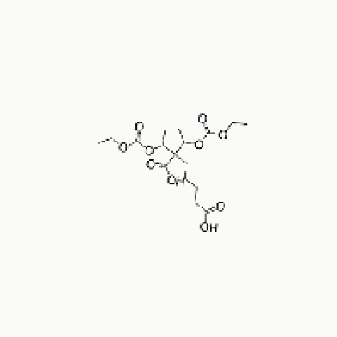 CCOC(=O)OC(C)C(CCCCC(=O)O)(C(=O)O)C(C)OC(=O)OCC